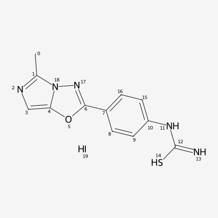 Cc1ncc2oc(-c3ccc(NC(=N)S)cc3)nn12.I